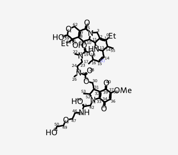 CCC1=C2CN3C(=O)C4=C(CC3C2NC(/C=C\C(C)OC(=O)N(C)CCN(C)C(=O)OCC2C3=C(C(=O)C=C(OC)C3=O)N(CC(O)NCCOCCO)C2C)C1C)C(O)(CC)C(O)OC4